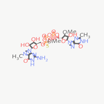 COC1[C@@H](COP(=O)(O)OP(=O)(O)OP(=S)(OC)OC[C@H]2O[C@@H](n3c[n+](C)c4c(=O)[nH]c(N)nc43)C(O)[C@H]2O)O[C@@H](n2cnc3c(=O)[nH]c(C)nc32)[C@H]1O